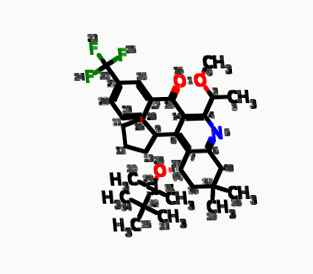 COC(C)c1nc2c(c(C3CCCC3)c1C(=O)c1cccc(C(F)(F)F)c1)[C@@H](O[Si](C)(C)C(C)(C)C)CC(C)(C)C2